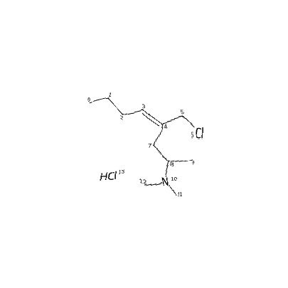 CCC/C=C(/CCl)CC(C)N(C)C.Cl